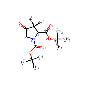 [2H]C1([2H])C(=O)CN(C(=O)OC(C)(C)C)[C@@H]1C(=O)OC(C)(C)C